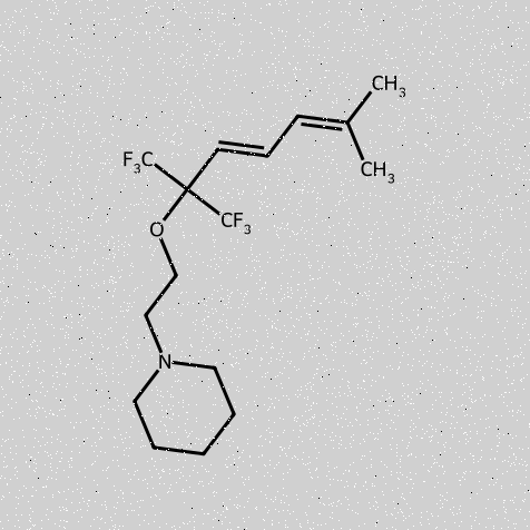 CC(C)=C/C=C/C(OCCN1CCCCC1)(C(F)(F)F)C(F)(F)F